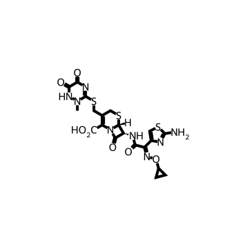 Cn1[nH]c(=O)c(=O)nc1SCC1=C(C(=O)O)N2C(=O)[C@@H](NC(=O)/C(=N/OC3CC3)c3csc(N)n3)[C@H]2SC1